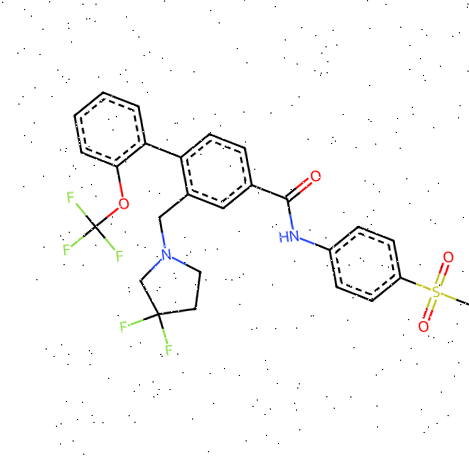 CS(=O)(=O)c1ccc(NC(=O)c2ccc(-c3ccccc3OC(F)(F)F)c(CN3CCC(F)(F)C3)c2)cc1